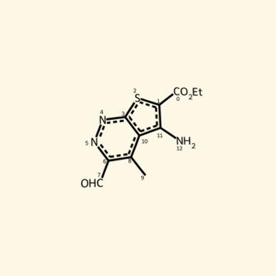 CCOC(=O)c1sc2nnc(C=O)c(C)c2c1N